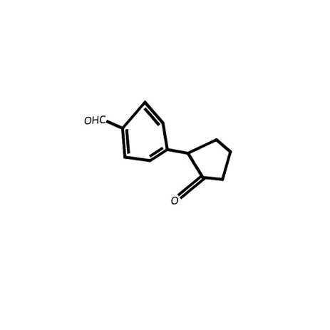 O=Cc1ccc(C2CCCC2=O)cc1